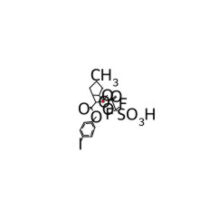 CC1CC2C(C(=O)Oc3ccc(I)cc3)C(=O)OC1C2OC(=O)C(F)(F)S(=O)(=O)O